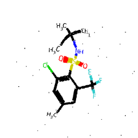 Cc1cc(Cl)c(S(=O)(=O)NC(C)(C)C)c(C(F)(F)F)c1